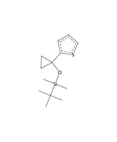 CC(C)(C)[Si](C)(C)OC1(c2cccs2)CC1